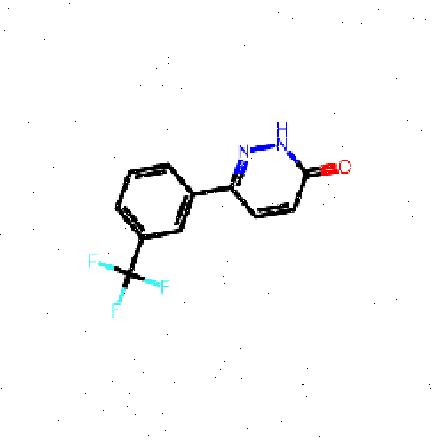 O=c1ccc(-c2cccc(C(F)(F)F)c2)n[nH]1